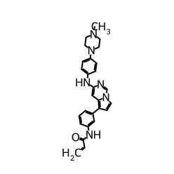 C=CC(=O)Nc1cccc(-c2ccn3cnc(Nc4ccc(N5CCN(C)CC5)cc4)cc23)c1